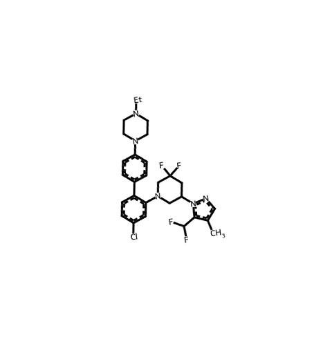 CCN1CCN(c2ccc(-c3ccc(Cl)cc3N3CC(n4ncc(C)c4C(F)F)CC(F)(F)C3)cc2)CC1